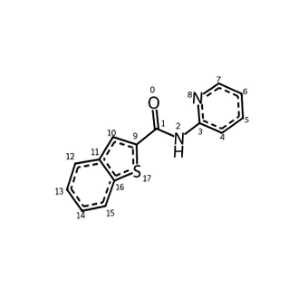 O=C(Nc1ccccn1)c1cc2ccccc2s1